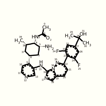 CC(=O)N[C@@H]1[C@H](N)C[C@H](c2ccncc2Nc2ncc3ccc(-c4c(F)cc(C(C)(C)O)cc4F)nn23)C[C@@H]1C